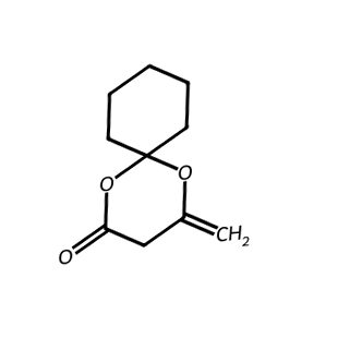 C=C1CC(=O)OC2(CCCCC2)O1